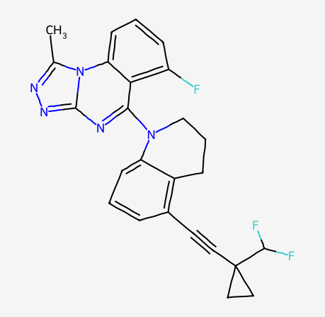 Cc1nnc2nc(N3CCCc4c(C#CC5(C(F)F)CC5)cccc43)c3c(F)cccc3n12